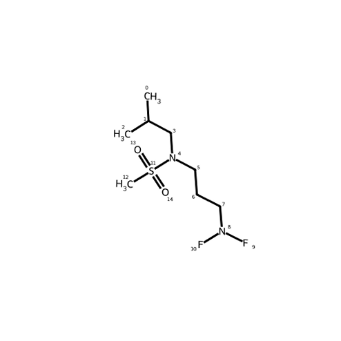 CC(C)CN(CCCN(F)F)S(C)(=O)=O